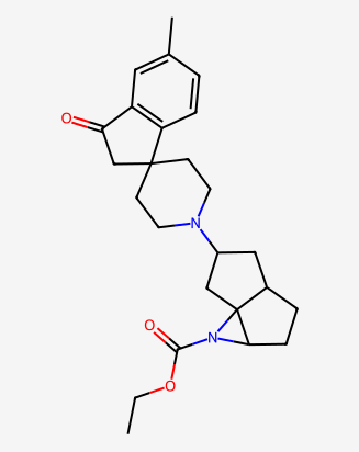 CCOC(=O)N1C2CCC3CC(N4CCC5(CC4)CC(=O)c4cc(C)ccc45)CC321